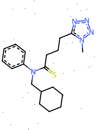 Cn1nnnc1CCCC(=S)N(CC1CCCCC1)c1ccccc1